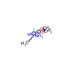 CCCCCCC1NCC(F)C(N2CCC(S(=O)(=O)N(C)C)CC2)C1N